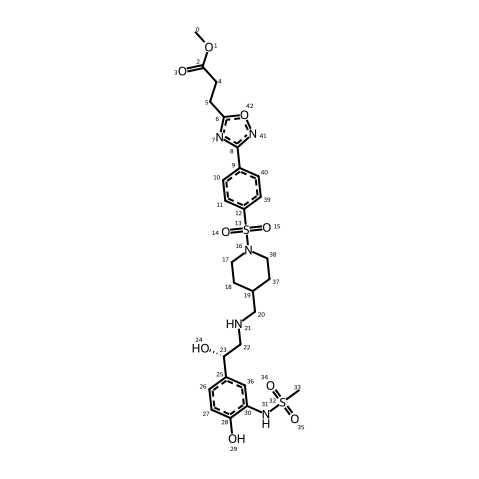 COC(=O)CCc1nc(-c2ccc(S(=O)(=O)N3CCC(CNC[C@@H](O)c4ccc(O)c(NS(C)(=O)=O)c4)CC3)cc2)no1